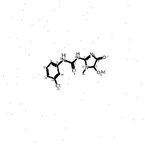 CC(=O)OC1C(=O)N=C(NC(=O)Nc2cccc(Cl)c2)N1C